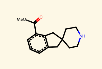 COC(=O)c1cccc2c1CC1(CCNCC1)C2